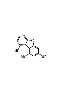 Brc1cc(Br)c2c(c1)oc1cccc(Br)c12